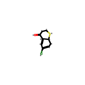 O=C1CCSC2CC=C(Cl)C=C12